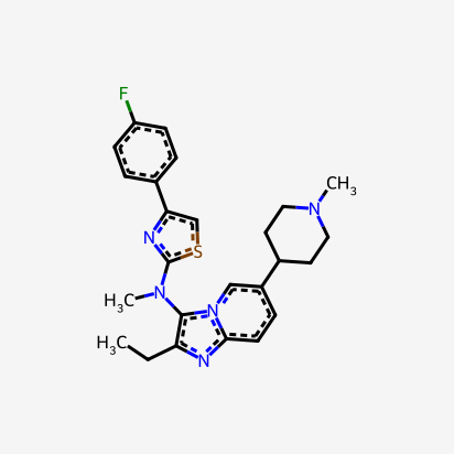 CCc1nc2ccc(C3CCN(C)CC3)cn2c1N(C)c1nc(-c2ccc(F)cc2)cs1